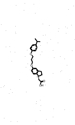 CC(C)c1ccc(OCCCOc2ccc3c(c2)CC[C@H]3CC(=O)O)cc1